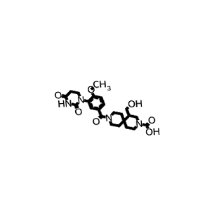 COc1ccc(C(=O)N2CCC3(CCN(C(=O)O)CC3CO)CC2)cc1N1CCC(=O)NC1=O